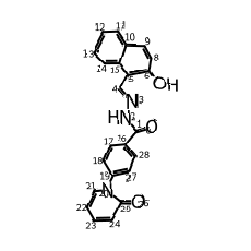 O=C(NN=Cc1c(O)ccc2ccccc12)c1ccc(-n2ccccc2=O)cc1